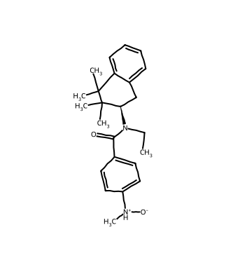 CCN(C(=O)c1ccc([NH+](C)[O-])cc1)[C@@H]1Cc2ccccc2C(C)(C)C1(C)C